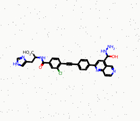 NNC(O)c1cc(-c2ccc(C#Cc3ccc(C(=O)NC(Cc4c[nH]cn4)C(=O)O)cc3Cl)cc2)nc2ccncc12